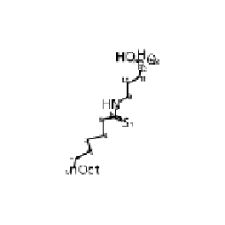 CCCCCCCCCCCCCC(=S)NCCC[PH](=O)O